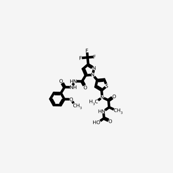 COc1ccccc1C(=O)NNC(=O)c1cc(C(F)(F)F)nn1-c1csc(N(C)C(=O)C(C)NC(=O)O)c1